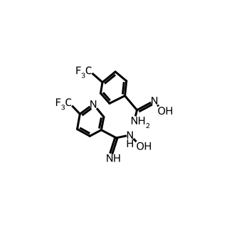 N=C(NO)c1ccc(C(F)(F)F)nc1.NC(=NO)c1ccc(C(F)(F)F)cc1